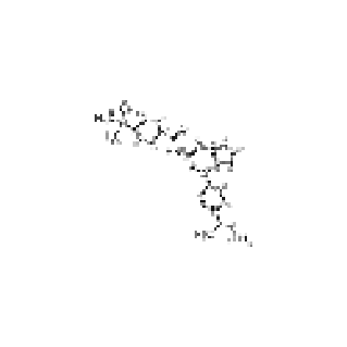 CCC(C)c1ccc(-c2cc(NC(=O)c3ccc(C(C)(C)C)cc3)nc3ccnn23)cc1